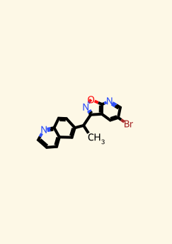 CC(c1ccc2ncccc2c1)c1noc2ncc(Br)cc12